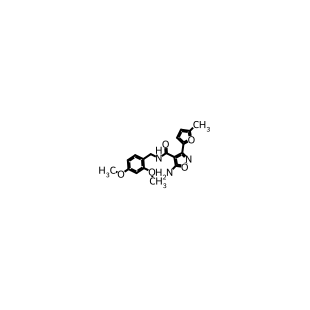 COc1ccc(CNC(=O)c2c(-c3ccc(C)o3)noc2N)c(OC)c1